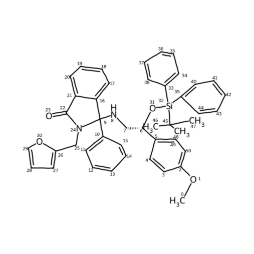 COc1ccc([C@H](CNC2(c3ccccc3)c3ccccc3C(=O)N2Cc2ccco2)O[Si](c2ccccc2)(c2ccccc2)C(C)(C)C)cc1